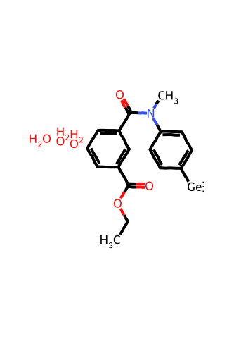 CCOC(=O)c1cccc(C(=O)N(C)c2cc[c]([Ge])cc2)c1.O.O.O